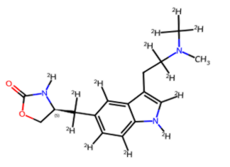 [2H]c1c(C([2H])([2H])[C@H]2COC(=O)N2[2H])c([2H])c2c(CC([2H])([2H])N(C)C([2H])([2H])[2H])c([2H])n([2H])c2c1[2H]